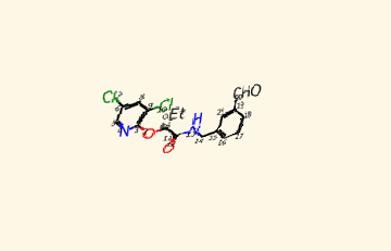 CC[C@@H](Oc1ncc(Cl)cc1Cl)C(=O)NCc1cccc(C=O)c1